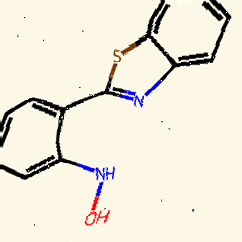 ONc1ccccc1-c1nc2ccccc2s1